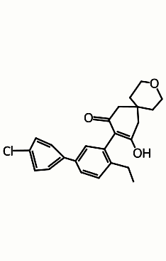 CCc1ccc(-c2ccc(Cl)cc2)cc1C1=C(O)CC2(CCOCC2)CC1=O